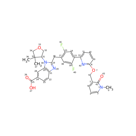 Cn1cccc(COc2cccc(-c3cc(F)c(Cc4nc5ccc(C(=O)O)cc5n4C4COCC4(C)C)cc3F)n2)c1=O